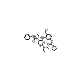 CCN(CC)c1ncc(N(CC)C(=O)Nc2ccccc2)c(Nc2cc(OC(=O)N3CCCC3)ccc2C=O)n1